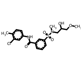 COCC(O)CN(C)S(=O)(=O)c1cccc(C(=O)Nc2ccc(C)c(Cl)c2)c1